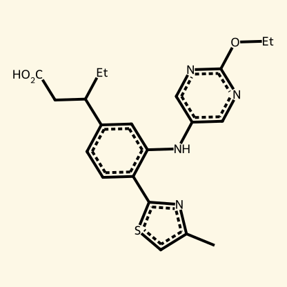 CCOc1ncc(Nc2cc(C(CC)CC(=O)O)ccc2-c2nc(C)cs2)cn1